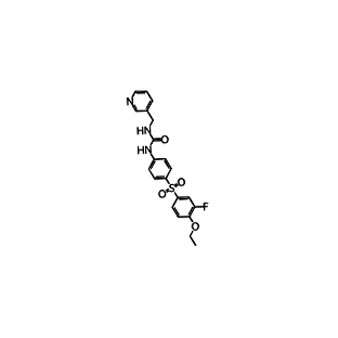 CCOc1ccc(S(=O)(=O)c2ccc(NC(=O)NCc3cccnc3)cc2)cc1F